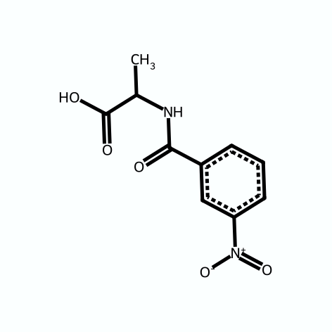 CC(NC(=O)c1cccc([N+](=O)[O-])c1)C(=O)O